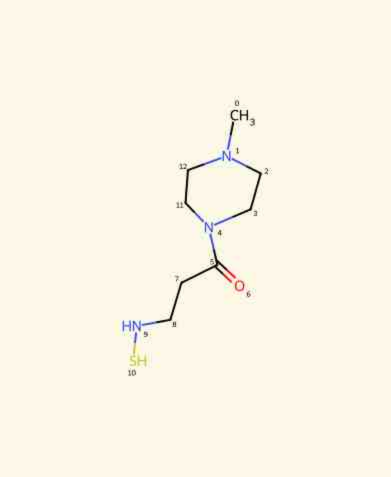 CN1CCN(C(=O)CCNS)CC1